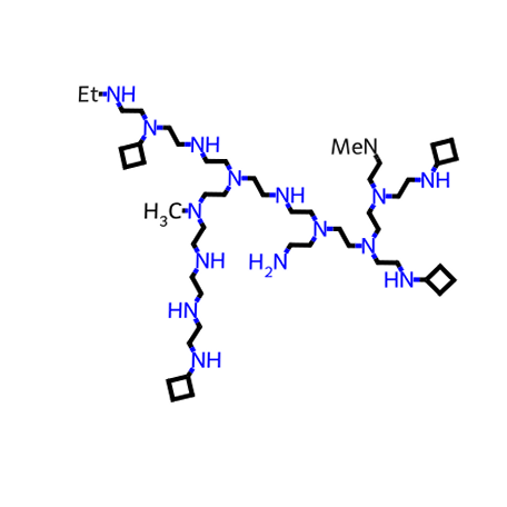 CCNCCN(CCNCCN(CCNCCN(CCN)CCN(CCNC1CCC1)CCN(CCNC)CCNC1CCC1)CCN(C)CCNCCNCCNC1CCC1)C1CCC1